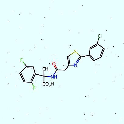 CC(NC(=O)Cc1csc(-c2cccc(Cl)c2)n1)(C(=O)O)c1cc(F)ccc1F